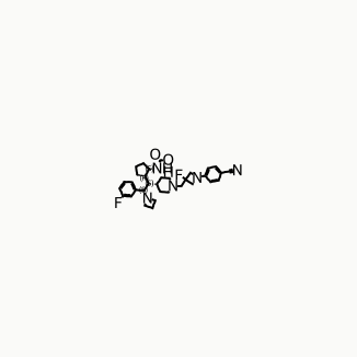 N#Cc1ccc(N2CC(F)(CN3CCC([C@@H]([C@H]4CCC[C@@H]4NC(=O)O)[C@@H](c4cccc(F)c4)N4CCC4)CC3)C2)cc1